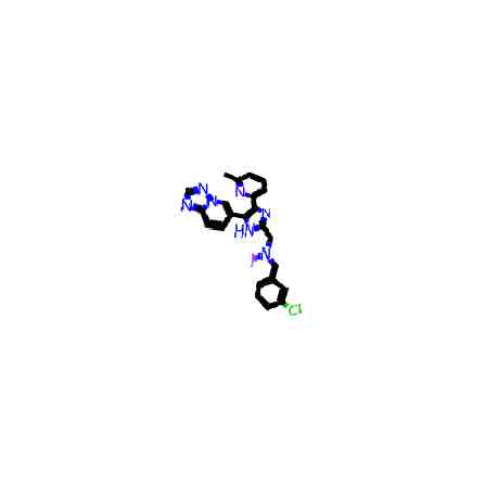 Cc1cccc(-c2nc(CN(I)Cc3cccc(Cl)c3)[nH]c2-c2ccc3ncnn3c2)n1